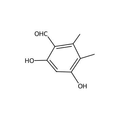 Cc1c(O)cc(O)c(C=O)c1C